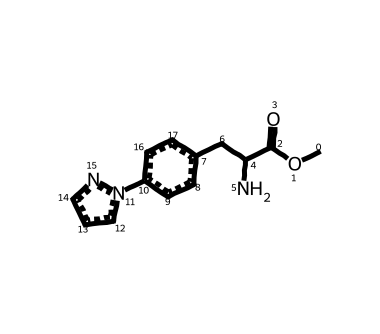 COC(=O)C(N)Cc1ccc(-n2cccn2)cc1